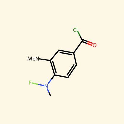 CNc1cc(C(=O)Cl)ccc1N(C)F